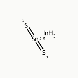 [InH3].[S]=[Sn]=[S]